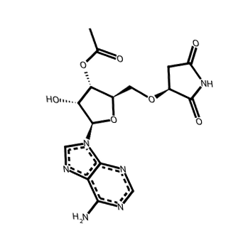 CC(=O)O[C@H]1[C@@H](O)[C@H](n2cnc3c(N)ncnc32)O[C@@H]1CO[C@H]1CC(=O)NC1=O